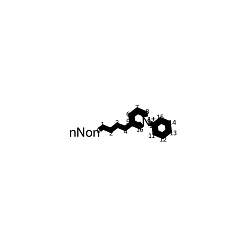 CCCCCCCCCCCCCc1ccc[n+](-c2ccccc2)c1